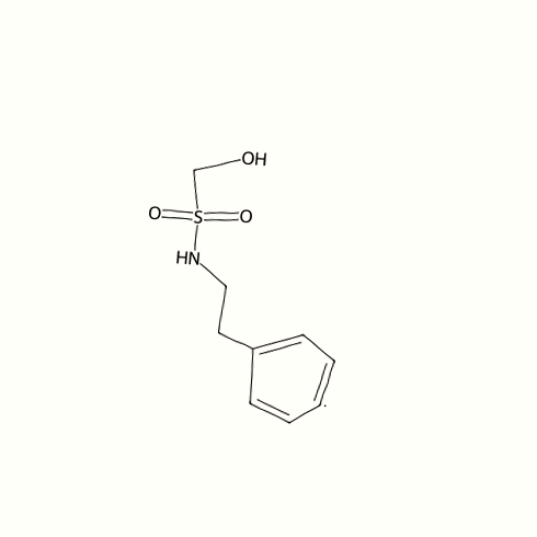 O=S(=O)(CO)NCCc1cc[c]cc1